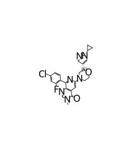 Cn1cnc2c(-c3ccc(Cl)cc3F)nc(N3CCO[C@@H](c4cnn(C5CC5)c4)C3)cc2c1=O